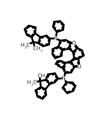 CC1(C)c2ccccc2-c2cc(N(c3ccccc3)c3cc4oc5ccc6oc7cc(N(c8ccccc8)c8ccc9c(c8)-c8ccccc8C9(C)C)c8ccccc8c7c6c5c4c4ccccc34)ccc21